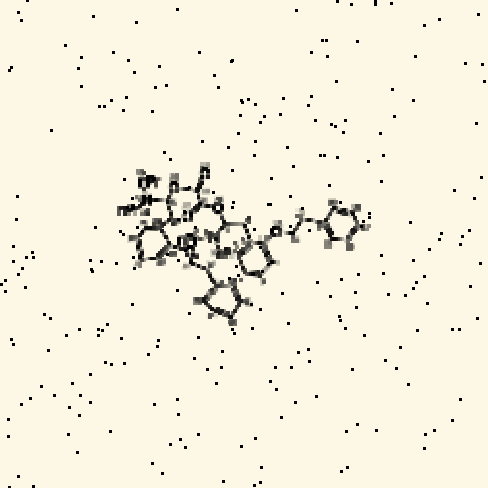 CCCN(CCC)C(Cc1ccccc1OCCc1ccccc1)OC(=O)C(=O)OC(Cc1ccccc1OCCc1ccccc1)N(CCC)CCC